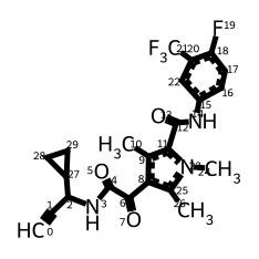 C#CC(NC(=O)C(=O)c1c(C)c(C(=O)Nc2ccc(F)c(C(F)(F)F)c2)n(C)c1C)C1CC1